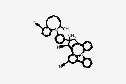 CC1/C=C\C=C/Cc2c(C#N)cccc2N1c1cccc(C2(C)Cc3cc(c4cc(C#N)cc5c6ccccc6n(c6ccccc36)c45)=C2C#N)c1